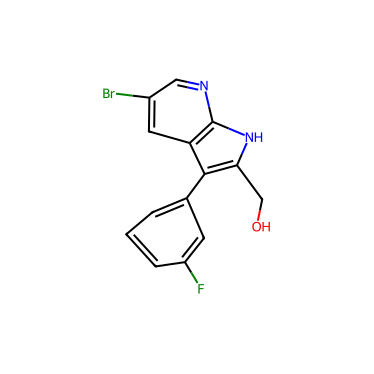 OCc1[nH]c2ncc(Br)cc2c1-c1cccc(F)c1